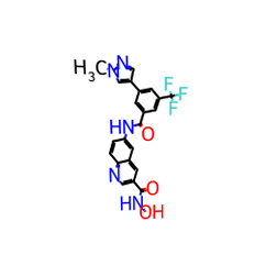 Cn1cc(-c2cc(C(=O)Nc3ccc4ncc(C(=O)NO)cc4c3)cc(C(F)(F)F)c2)cn1